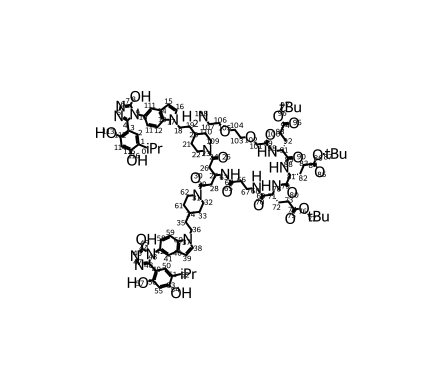 CC(C)c1cc(-c2nnc(O)n2-c2ccc3c(ccn3CCC3CCN(C(=O)CC(CC(=O)N4CCC(CCn5ccc6cc(-n7c(O)nnc7-c7cc(C(C)C)c(O)cc7O)ccc65)CC4)NC(=O)CCNC(=O)[C@@H](CCC(=O)OC(C)(C)C)NC(=O)[C@@H](CCC(=O)OC(C)(C)C)NC(=O)[C@@H](CCC(=O)OC(C)(C)C)NC(=O)COCCOCCN)CC3)c2)c(O)cc1O